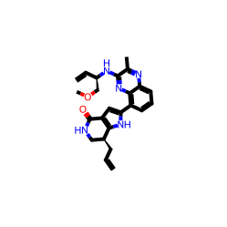 C=CC[C@H]1CNC(=O)c2cc(-c3cccc4nc(C)c(N[C@H](C=C)COC)nc34)[nH]c21